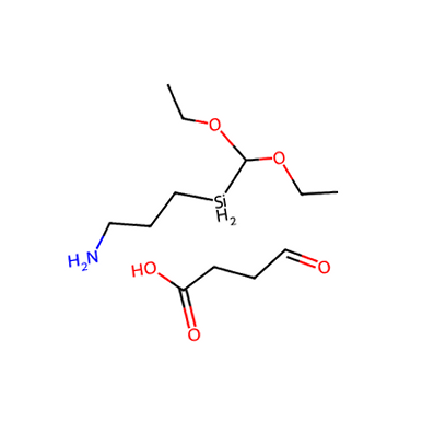 CCOC(OCC)[SiH2]CCCN.O=CCCC(=O)O